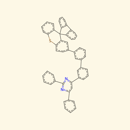 c1ccc(-c2cc(-c3cccc(-c4cccc(-c5ccc6c(c5)C5(c7ccccc7S6)c6ccccc6-c6ccccc65)c4)c3)nc(-c3ccccc3)n2)cc1